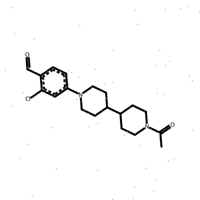 CC(=O)N1CCC(C2CCN(c3ccc(C=O)c(Cl)c3)CC2)CC1